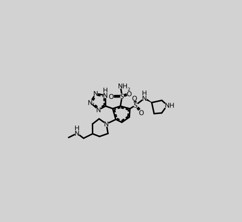 CNCC1CCN(c2ccc(S(=O)(=O)N[C@@H]3CCNC3)c(S(N)(=O)=O)c2-c2nnn[nH]2)CC1